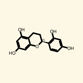 Oc1ccc([C@@H]2CCc3c(O)cc(O)cc3O2)c(O)c1